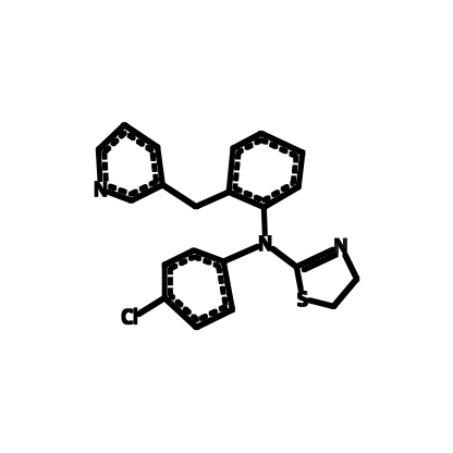 Clc1ccc(N(C2=NCCS2)c2ccccc2Cc2cccnc2)cc1